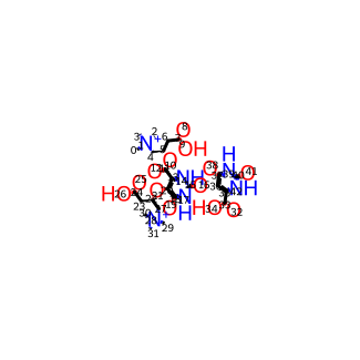 C[N+](C)(C)C[C@@H](CC(=O)O)OC(=O)c1[nH]c(=O)[nH]c(=O)c1O[C@H](CC(=O)O)C[N+](C)(C)C.O=C(O)c1cc(=O)[nH]c(=O)[nH]1